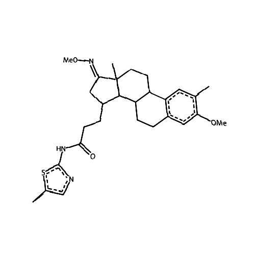 CO/N=C1\CC(CCC(=O)Nc2ncc(C)s2)C2C3CCc4cc(OC)c(C)cc4C3CCC12C